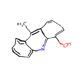 Cc1c2ccccc2nc2c(O)cccc12